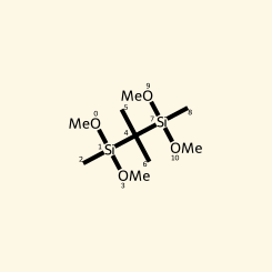 CO[Si](C)(OC)C(C)(C)[Si](C)(OC)OC